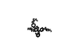 CCO[C@H]1CC[C@@](CS)(C(=O)N[C@@H](Cc2ccccc2)C(=O)Nc2ccc(SC)cc2)CC1